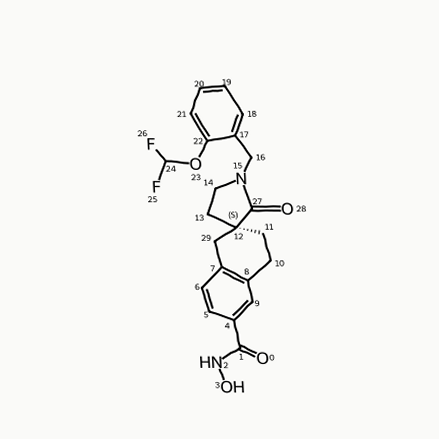 O=C(NO)c1ccc2c(c1)CC[C@@]1(CCN(Cc3ccccc3OC(F)F)C1=O)C2